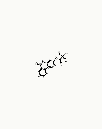 O=C(Oc1ccc2c(c1)OC(O)c1ccccc1-2)C(F)(F)F